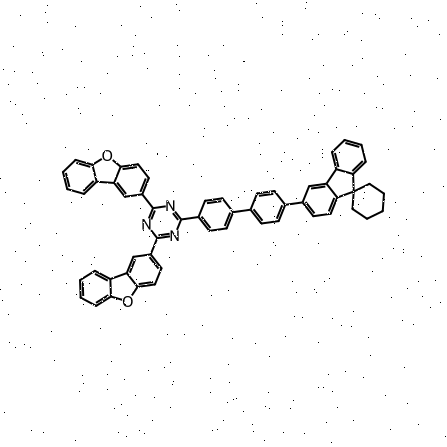 c1ccc2c(c1)-c1cc(-c3ccc(-c4ccc(-c5nc(-c6ccc7oc8ccccc8c7c6)nc(-c6ccc7oc8ccccc8c7c6)n5)cc4)cc3)ccc1C21CCCCC1